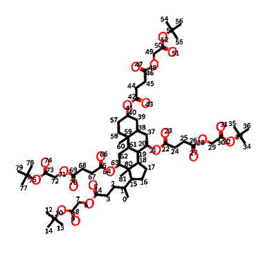 CC(CCC(=O)OCC(=O)OC(C)(C)C)C1CCC2C3C(OC(=O)CCC(=O)OCC(=O)OC(C)(C)C)CC4CC(OC(=O)CCC(=O)OCC(=O)OC(C)(C)C)CCC4(C)C3CC(OC(=O)CCC(=O)OCC(=O)OC(C)(C)C)C12C